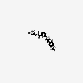 CC1(C(=O)Nc2cccc(C(=O)NCC(O)CO)n2)COc2cc3c(cc21)OC(F)(F)O3